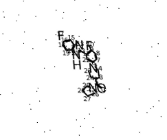 O=C(C1CCN(c2ccc(F)c(-c3nc4cc(F)ccc4[nH]3)c2)CC1)N1CCCC1